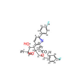 C=C(C(C)C)C(O)C(c1ccc(-c2ccc(F)cc2)nc1)C(O)(COCc1ccc(F)cc1)C(C(=O)O)C(C)C